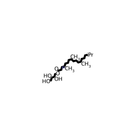 C/C(=C\CC(=O)OCC(O)C(O)CO)CCCC(C)CCCC(C)CCCC(C)C